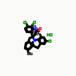 CC(C)(C)c1ccc(CC(CC(N)=O)(c2ccc(Cl)c(Cl)c2)N2CCCc3cc(Cl)cc(C(=O)O)c32)cc1.Cl